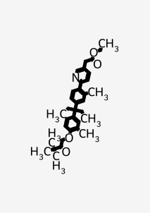 CCOC(=O)Cc1ccc(-c2ccc(C(CC)(CC)c3ccc(OCC(=O)C(C)(C)C)c(C)c3)cc2C)nc1